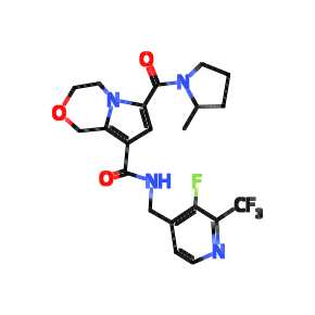 CC1CCCN1C(=O)c1cc(C(=O)NCc2ccnc(C(F)(F)F)c2F)c2n1CCOC2